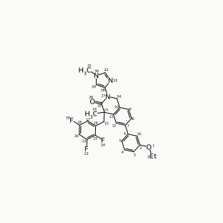 CCOc1cccc(-c2ccc3c(c2)C(C)(Cc2cc(F)cc(F)c2F)C(=O)N(c2cn(C)cn2)C3)c1